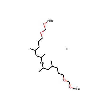 CCCCOCOCCCC(C)C[CH](C)[Cu][CH](C)CC(C)CCCOCOCCCC.[Li]